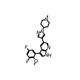 COc1c(F)cc(F)cc1-c1c[nH]c2ncc(-c3cnn(C4CCN(C)CC4)c3)cc12